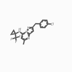 Cc1cc(NC2(C(F)(F)F)CC2)n2nc(Cc3ccc(Cl)cc3)cc2n1